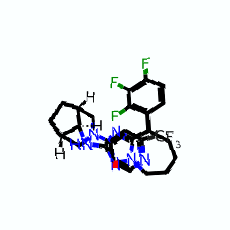 Fc1ccc(C2CCCCn3nc(N[C@@H]4[C@@H]5CC[C@H]4CN(c4ccnc(C(F)(F)F)c4)C5)nc32)c(F)c1F